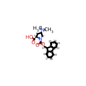 CN(C)[C@@H]1C[C@H](C(=O)O)N(C(=O)OCC2c3ccccc3-c3ccccc32)C1